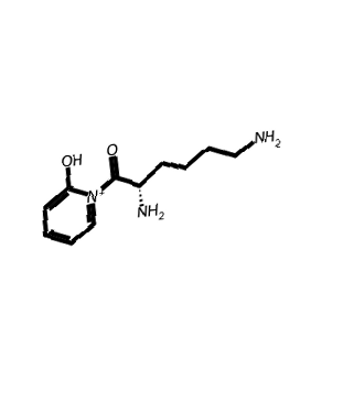 NCCCC[C@H](N)C(=O)[n+]1ccccc1O